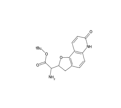 CC(C)(C)OC(=O)C(N)C1Cc2ccc3[nH]c(=O)ccc3c2O1